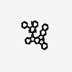 c1ccc(-c2nc(-n3c4ccccc4c4cc5c6ccccc6n6c7cc8ccccc8cc7c(c43)c56)nc3cccnc23)cc1